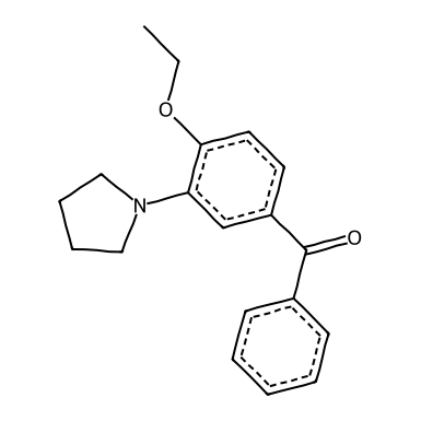 CCOc1ccc(C(=O)c2ccccc2)cc1N1CCCC1